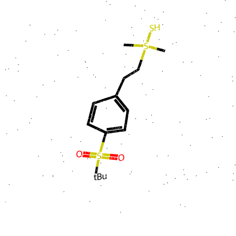 CC(C)(C)S(=O)(=O)c1ccc(CCS(C)(C)S)cc1